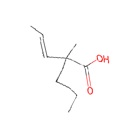 CC=CC(C)(CCC)C(=O)O